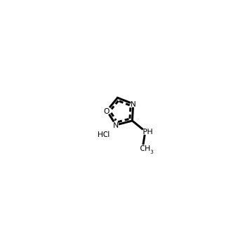 CPc1ncon1.Cl